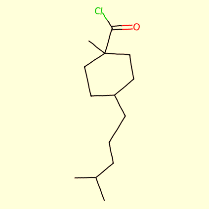 CC(C)CCCC1CCC(C)(C(=O)Cl)CC1